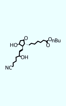 CCCCOC(=O)CCCCCC[C@H]1C(=O)C[C@H](O)[C@@H]1C=CC(O)CCCCC#N